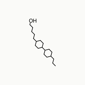 CCCC1CCC(C2CCC(CCCCCO)CC2)CC1